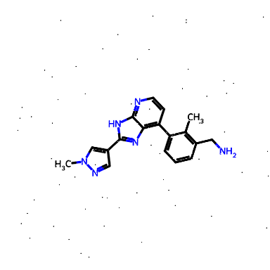 Cc1c(CN)cccc1-c1ccnc2[nH]c(-c3cnn(C)c3)nc12